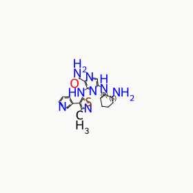 Cc1nsc(Nc2nc(N[C@@H]3CCCC[C@@H]3N)cnc2C(N)=O)c1-c1cccnc1